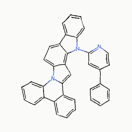 c1ccc(-c2ccnc(-n3c4ccccc4c4ccc5c(cc6c7ccccc7c7ccccc7n65)c43)c2)cc1